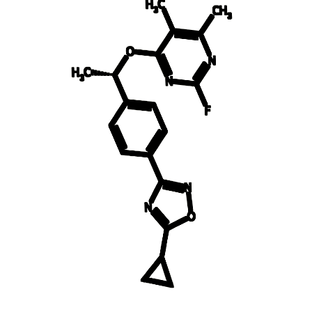 Cc1nc(F)nc(O[C@@H](C)c2ccc(-c3noc(C4CC4)n3)cc2)c1C